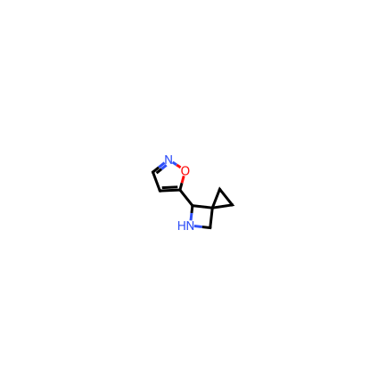 c1cc(C2NCC23CC3)on1